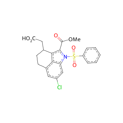 COC(=O)c1c2c3c(cc(Cl)cc3n1S(=O)(=O)c1ccccc1)CCC2CC(=O)O